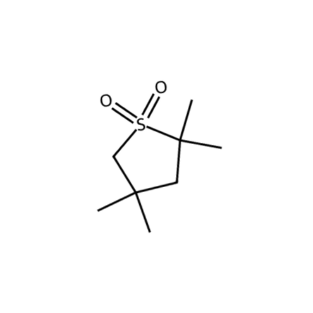 CC1(C)CC(C)(C)S(=O)(=O)C1